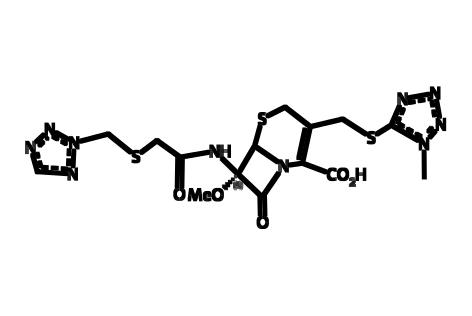 CO[C@@]1(NC(=O)CSCn2ncnn2)C(=O)N2C(C(=O)O)=C(CSc3nnnn3C)CSC21